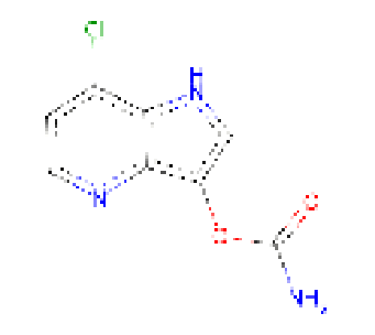 NC(=O)Oc1c[nH]c2c(Cl)ccnc12